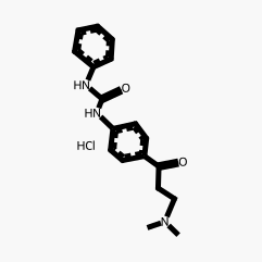 CN(C)CCC(=O)c1ccc(NC(=O)Nc2ccccc2)cc1.Cl